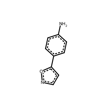 Nc1ccc(-c2ccno2)cc1